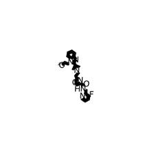 COCCn1c(C2CN(CCc3nc(C(=O)NCc4ncccc4F)co3)C2)nc2ccccc21